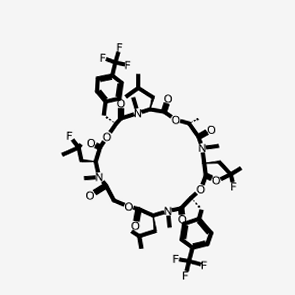 CC(C)C[C@H]1C(=O)O[C@H](C)C(=O)N(C)[C@@H](CC(C)(C)F)C(=O)O[C@H](Cc2ccc(C(F)(F)F)cc2)C(=O)N(C)[C@@H](CC(C)C)C(=O)OCC(=O)N(C)[C@@H](CC(C)(C)F)C(=O)O[C@H](Cc2ccc(C(F)(F)F)cc2)C(=O)N1C